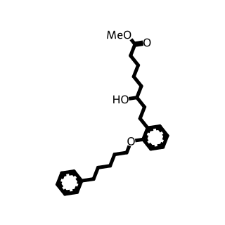 COC(=O)CCCCC(O)CCc1ccccc1OCCCCCc1ccccc1